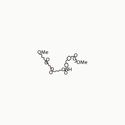 COCCCCCC(=O)OCCCCOC(=O)CCCCCOC(=O)NC1CCC(CC2CCC(CC(=O)OCC(C)OC)CC2)CC1